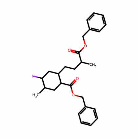 CC(CCC1CC(I)C(C)CC1C(=O)OCc1ccccc1)C(=O)OCc1ccccc1